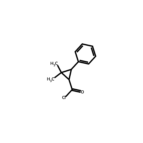 CC1(C)C(C(=O)Cl)C1c1ccccc1